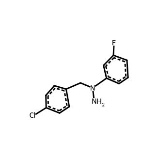 NN(Cc1ccc(Cl)cc1)c1cccc(F)c1